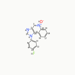 [O-][n+]1cc2ncn(-c3ccc(F)cc3)c2c2ccccc21